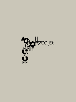 CCOC(=O)CSNc1cc(F)c(C(=O)Nc2nccc(N3CCC(F)(F)CC3)n2)c(N2CCC3(CC2)CC3)c1